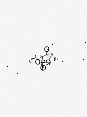 CCOP(=O)(CC=O)OCC